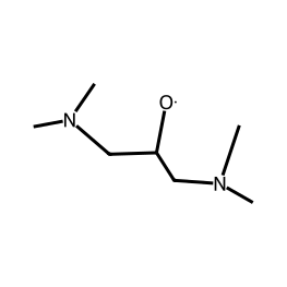 CN(C)CC([O])CN(C)C